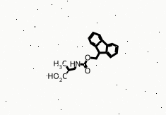 C[C@@H](CNC(=O)OCC1c2ccccc2-c2ccccc21)C(=O)O